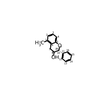 Cc1cccc2c1C[C@H](O)[C@@H](c1ccccc1)O2